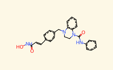 O=C(/C=C/c1ccc(CN2CCN(C(=O)Nc3ccccc3)c3ccccc32)cc1)NO